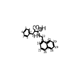 O=C(O)C(Cc1ccccc1)C(=O)NCc1cccc2ccccc12